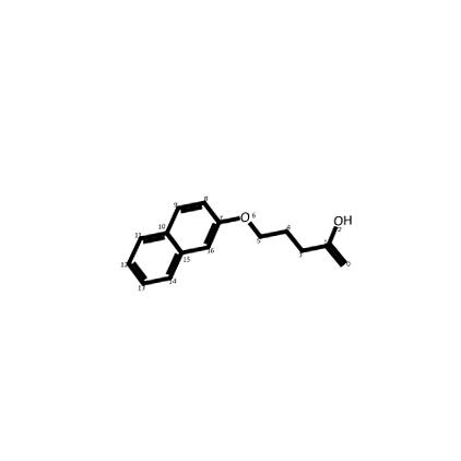 C=C(O)CCCOc1ccc2ccccc2c1